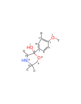 COc1ccc(C2(O)OCC(C)(C)NC2C)cc1C